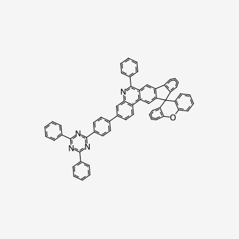 c1ccc(-c2nc(-c3ccccc3)nc(-c3ccc(-c4ccc5c(c4)nc(-c4ccccc4)c4cc6c(cc45)C4(c5ccccc5Oc5ccccc54)c4ccccc4-6)cc3)n2)cc1